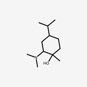 CC(C)C1CCC(C)(O)C(N(C)C)C1